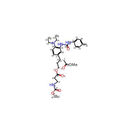 COC(=O)C[C@H](CCOC(=O)CCNC(=O)OC(C)(C)C)c1ccc(N(CC(C)C)CC(C)C)c(NC(=O)Nc2ccc(C)cc2)c1